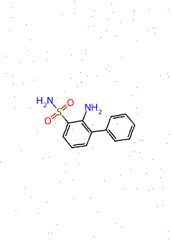 Nc1c(-c2ccccc2)cccc1S(N)(=O)=O